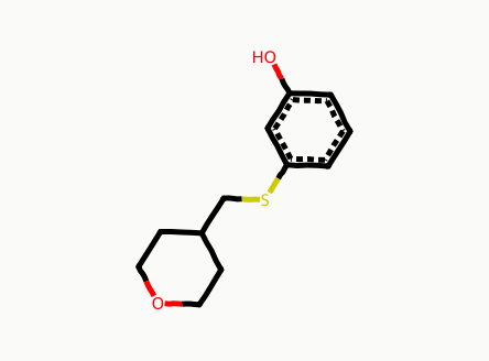 Oc1cccc(SCC2CCOCC2)c1